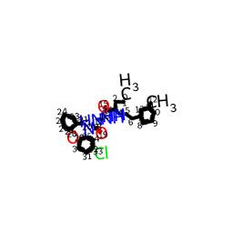 CCCC(NCCc1cccc(C)c1)C(=O)NNC(=O)N1Cc2ccccc2Oc2ccc(Cl)cc21